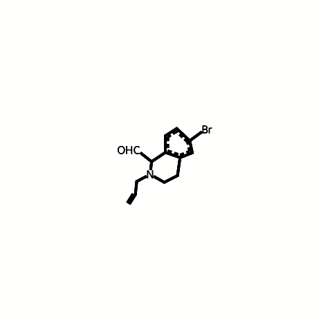 C=CCN1CCc2cc(Br)ccc2C1C=O